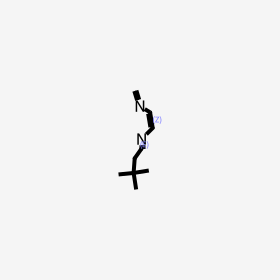 C=N/C=C\N=C\CC(C)(C)C